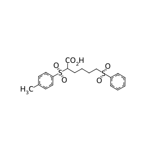 Cc1ccc(S(=O)(=O)C(CCCCS(=O)(=O)c2ccccc2)C(=O)O)cc1